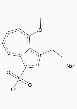 CCc1cc(S(=O)(=O)[O-])c2ccccc(OC)c1-2.[Na+]